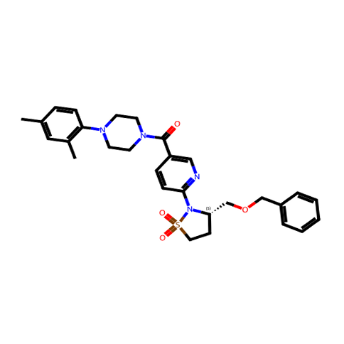 Cc1ccc(N2CCN(C(=O)c3ccc(N4[C@H](COCc5ccccc5)CCS4(=O)=O)nc3)CC2)c(C)c1